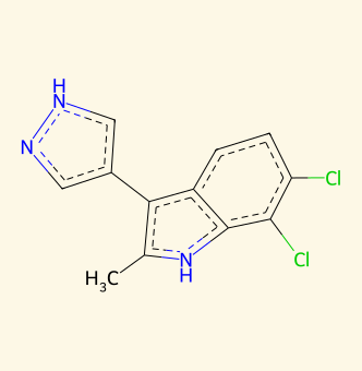 Cc1[nH]c2c(Cl)c(Cl)ccc2c1-c1cn[nH]c1